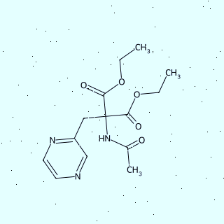 CCOC(=O)C(Cc1cnccn1)(NC(C)=O)C(=O)OCC